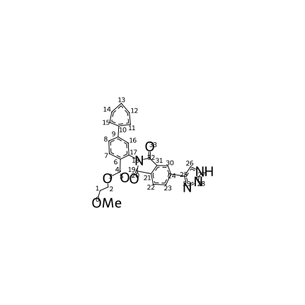 COCCOC(=O)c1ccc(-c2ccccc2)cc1N1C(=O)c2ccc(-c3c[nH]nn3)cc2C1=O